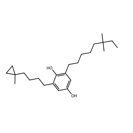 CCC(C)(C)CCCCCc1cc(O)cc(CCCCC2(C)CC2)c1O